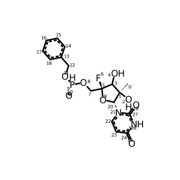 C[C@@]1(O)C(O)[C@@](F)(CO[PH](=O)OCc2ccccc2)O[C@H]1n1ccc(=O)[nH]c1=O